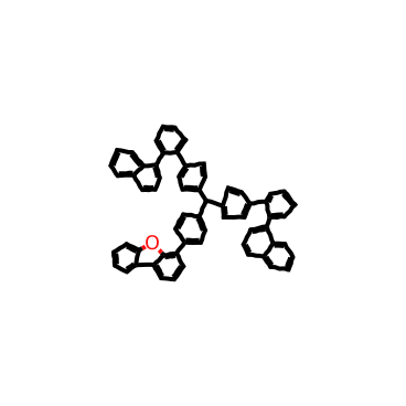 c1ccc(-c2cccc3ccccc23)c(-c2ccc(C(c3ccc(-c4ccccc4-c4cccc5ccccc45)cc3)c3ccc(-c4cccc5c4oc4ccccc45)cc3)cc2)c1